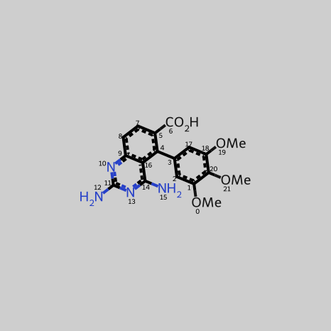 COc1cc(-c2c(C(=O)O)ccc3nc(N)nc(N)c23)cc(OC)c1OC